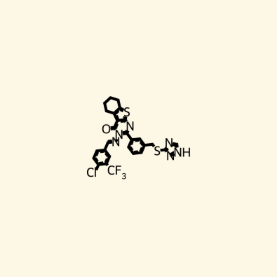 O=c1c2c3c(sc2nc(-c2cccc(CSc4nc[nH]n4)c2)n1N=Cc1ccc(Cl)c(C(F)(F)F)c1)CCCC3